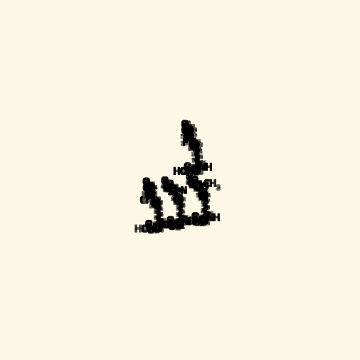 COc1cc2oc(=O)ccc2cc1N1CCN(CCCCc2c[nH]c3ccc(OC(=O)O)cc23)CC1.N#Cc1cc2oc(=O)ccc2cc1N1CCN(CCCCc2c[nH]c3ccc(OC(=O)O)cc23)CC1.O=C(O)Oc1ccc2[nH]cc(CCCCN3CCN(c4cc5ccc(=O)oc5cc4Cl)CC3)c2c1.O=C(O)Oc1ccc2[nH]cc(CCCCN3CCN(c4cc5ccc(=O)oc5cc4F)CC3)c2c1